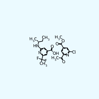 CC[C@H](C)Nc1cc(C(=O)O)cc(C(C)(F)F)n1.COC(=O)c1cc(Cl)nc(C(C)=O)c1